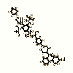 CN(C)CC[C@H](CSc1ccccc1)Nc1ccc(S(=O)(=O)NC(=O)c2ccc(N3CCC([C@@H](O)c4ccccc4-c4ccc(Cl)cc4)CC3)cc2)cc1S(=O)(=O)C(F)(F)F